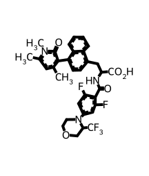 Cc1cc(C)n(C)c(=O)c1-c1ccc(CC(NC(=O)c2c(F)cc(N3CCOCC3C(F)(F)F)cc2F)C(=O)O)c2ccccc12